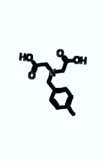 Cc1ccc(CN(CC(=O)O)CC(=O)O)cc1